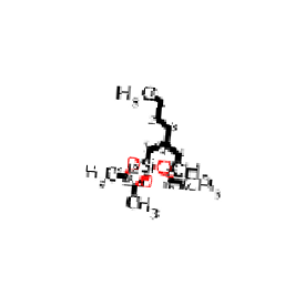 CCCCC(CC)C[Si](OCC)(OCC)OCC